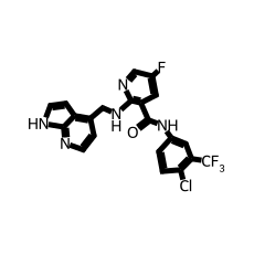 O=C(Nc1ccc(Cl)c(C(F)(F)F)c1)c1cc(F)cnc1NCc1ccnc2[nH]ccc12